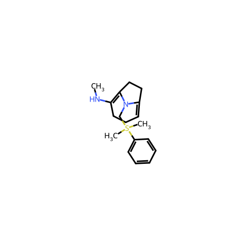 CNC1=C2CCC(=CCC1)N2CS(C)(C)c1ccccc1